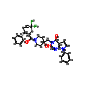 O=C([C@@H]1CC(F)(F)CC[C@H]1c1ccccc1)N1CCC(O)(Cn2cnc3c(ccn3-c3ccccc3)c2=O)CC1